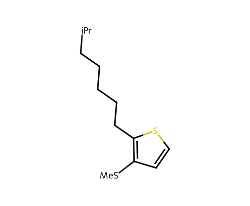 CSc1ccsc1CCCCCC(C)C